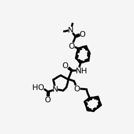 CN(C)C(=O)Oc1cccc(NC(=O)C2(COCc3ccccc3)CCN(C(=O)O)CC2)c1